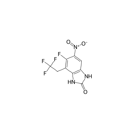 O=c1[nH]c2cc([N+](=O)[O-])c(F)c(CC(F)(F)F)c2[nH]1